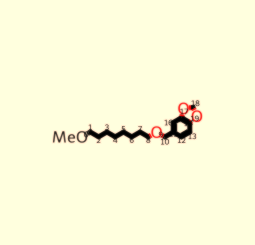 COCCCCCCCCOCc1ccc2c(c1)OCO2